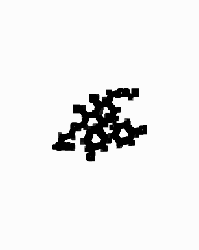 CCC(COCCOC)N1C(=O)C(CC(=O)O)C[C@H](c2cccc(Cl)c2)C1c1ccc(Cl)cc1